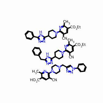 CCOC(=O)c1cc(C#N)c(N2CCC(c3nnc(-c4ccccc4)[nH]3)CC2)nc1C.CCOC(=O)c1cc(C#N)c(N2CCC(c3nnc(Cc4ccccc4)[nH]3)CC2)nc1C.Cc1nc(N2CCN(Cc3cn(-c4ccccc4)nn3)CC2)c(C#N)cc1C(=O)O